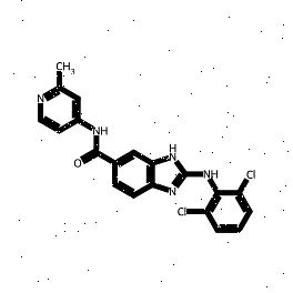 Cc1cc(NC(=O)c2ccc3nc(Nc4c(Cl)cccc4Cl)[nH]c3c2)ccn1